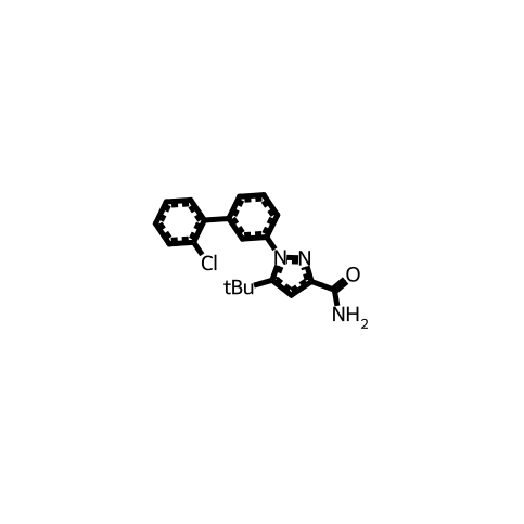 CC(C)(C)c1cc(C(N)=O)nn1-c1cccc(-c2ccccc2Cl)c1